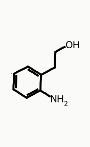 Nc1cc[c]cc1CCO